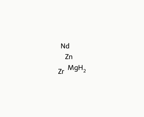 [MgH2].[Nd].[Zn].[Zr]